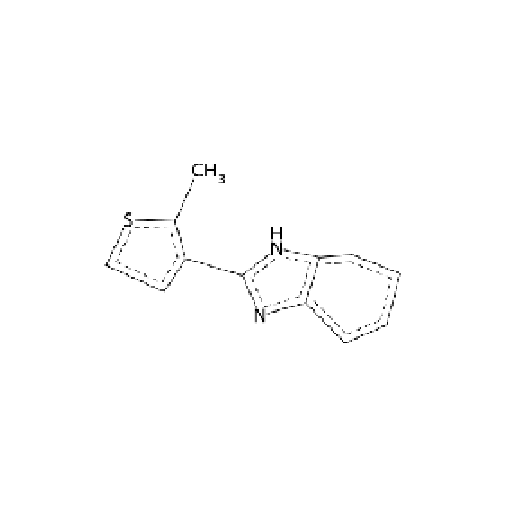 Cc1sccc1-c1nc2ccccc2[nH]1